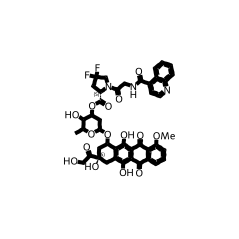 COc1cccc2c1C(=O)c1c(O)c3c(c(O)c1C2=O)C[C@@](O)(C(=O)CO)CC3OC1CC(OC(=O)[C@@H]2CC(F)(F)CN2C(=O)CNC(=O)c2ccnc3ccccc23)C(O)C(C)O1